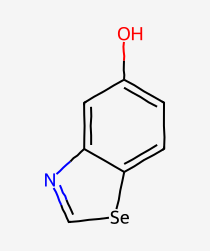 Oc1ccc2[se]cnc2c1